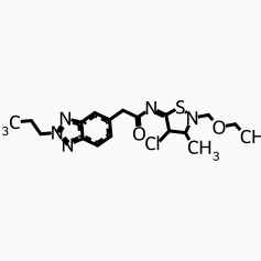 CCCn1nc2ccc(CC(=O)N=C3SN(COCC)C(C)C3Cl)cc2n1